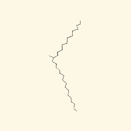 CCCCCCCCCCCCCCCC[C](C)CCCCCCCCCCCC